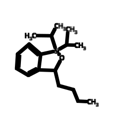 CCCCC1O[Si](C(C)C)(C(C)C)c2ccccc21